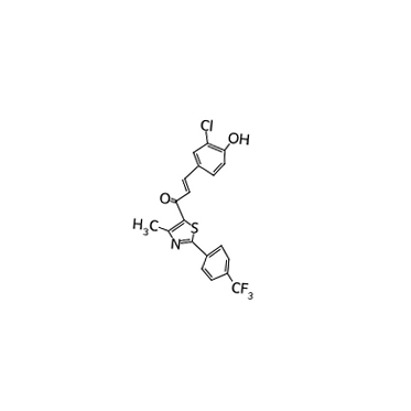 Cc1nc(-c2ccc(C(F)(F)F)cc2)sc1C(=O)/C=C/c1ccc(O)c(Cl)c1